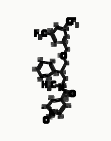 CN(CC(COCc1cc(C(F)(F)F)cc(C(F)(F)F)c1)c1ccccc1)C(=O)c1cc[n+]([O-])cc1